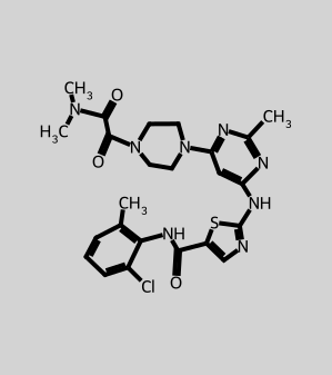 Cc1nc(Nc2ncc(C(=O)Nc3c(C)cccc3Cl)s2)cc(N2CCN(C(=O)C(=O)N(C)C)CC2)n1